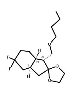 CCCCOC[C@H]1[C@@H]2CCC(F)(F)C[C@@H]2CC12OCCO2